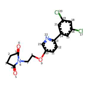 O=C1CCC(=O)N1CCOc1ccc(-c2cc(Cl)cc(Cl)c2)nc1